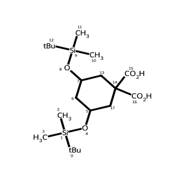 CC(C)(C)[Si](C)(C)OC1CC(O[Si](C)(C)C(C)(C)C)CC(C(=O)O)(C(=O)O)C1